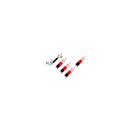 [C]=O.[C]=O.[C]=O.[C]=O.[SiH3][Co]